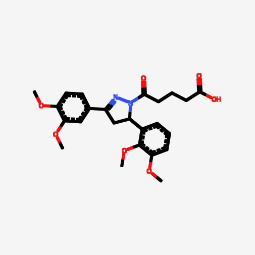 COc1ccc(C2=NN(C(=O)CCCC(=O)O)C(c3cccc(OC)c3OC)C2)cc1OC